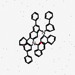 c1ccc(-c2cccc(N(c3cc4c(N(c5cccc(-c6ccccc6)c5)c5cccc6ccccc56)cc(-c5ccccc5)cc4cc3-c3ccccc3)c3cccc4ccccc34)c2)cc1